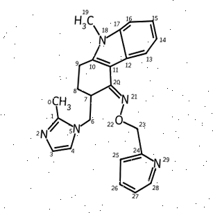 Cc1nccn1CC1CCc2c(c3ccccc3n2C)/C1=N/OCc1ccccn1